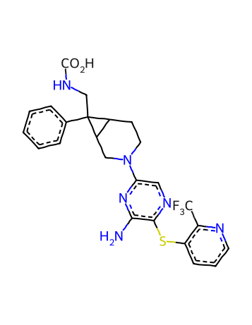 Nc1nc(N2CCC3C(C2)C3(CNC(=O)O)c2ccccc2)cnc1Sc1cccnc1C(F)(F)F